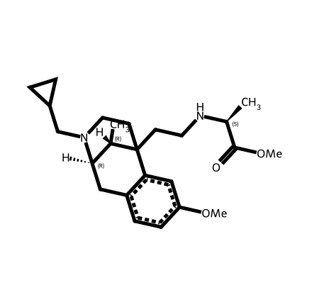 COC(=O)[C@H](C)NCCC12CCN(CC3CC3)[C@H](Cc3ccc(OC)cc31)[C@@H]2C